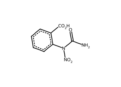 NC(=O)N(c1ccccc1C(=O)O)[N+](=O)[O-]